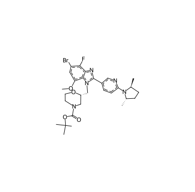 COc1cc(Br)c(F)c2nc(-c3ccc(N4[C@@H](C)CC[C@@H]4C)nc3)n(C[C@@H]3CN(C(=O)OC(C)(C)C)CCO3)c12